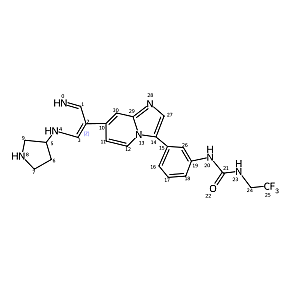 N=C/C(=C\NC1CCNC1)c1ccn2c(-c3cccc(NC(=O)NCC(F)(F)F)c3)cnc2c1